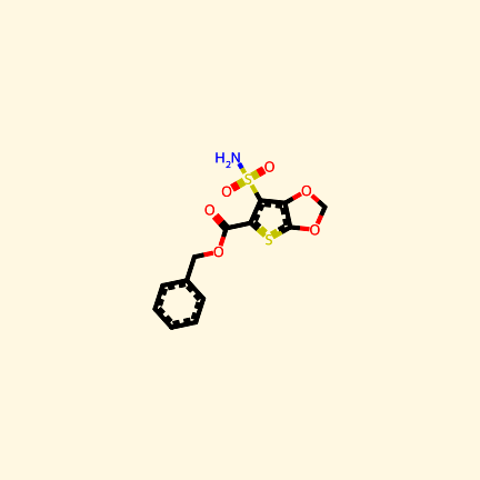 NS(=O)(=O)c1c(C(=O)OCc2ccccc2)sc2c1OCO2